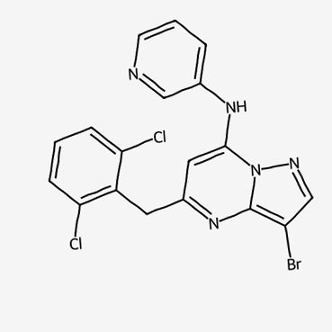 Clc1cccc(Cl)c1Cc1cc(Nc2cccnc2)n2ncc(Br)c2n1